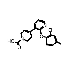 Cc1ccc(Oc2ncccc2C2=CCN(C(=O)O)CC2)c(Cl)c1